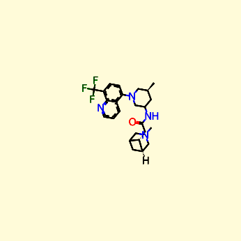 C[C@H]1CC(NC(=O)C[C@H]2C3C[C@@H]2CN(C)C3)CN(c2ccc(C(F)(F)F)c3ncccc23)C1